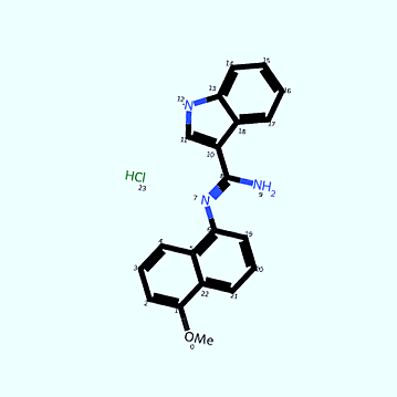 COc1cccc2c(N=C(N)C3=C[N]c4ccccc43)cccc12.Cl